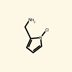 NCc1cccn1Cl